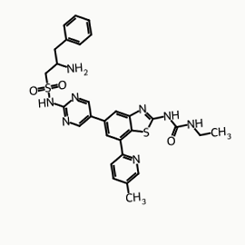 CCNC(=O)Nc1nc2cc(-c3cnc(NS(=O)(=O)CC(N)Cc4ccccc4)nc3)cc(-c3ccc(C)cn3)c2s1